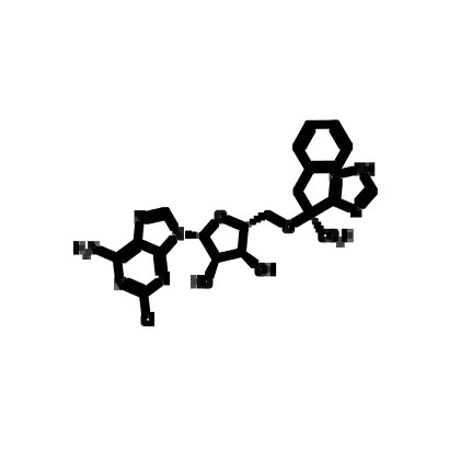 Nc1nc(Cl)nc2c1ncn2[C@@H]1O[C@H](CO[C@](Cc2ccccc2)(C(=O)O)c2nc[nH]n2)[C@@H](O)[C@H]1O